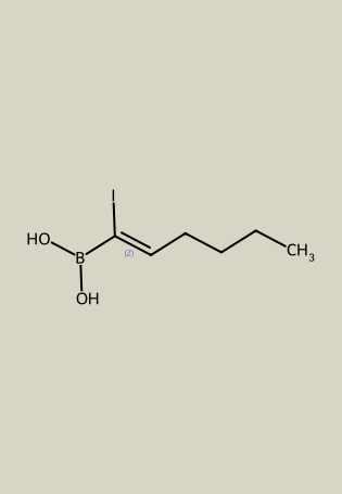 CCCC/C=C(\I)B(O)O